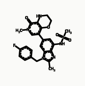 Cc1nc2c(NS(C)(=O)=O)cc(-c3cn(C)c(=O)c4c3OCCN4)cc2n1Cc1ccc(F)cc1